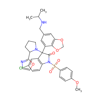 COc1ccc(S(=O)(=O)N2C(=O)C(c3cc(CNC(C)C)cc4c3OCO4)(N3CCCC3c3ncco3)c3cc(Cl)ccc32)cc1